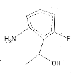 CC(O)c1c(N)cccc1F